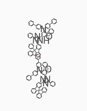 c1ccc(C2=NC(c3cc(N(c4ccc(-c5ccccc5)cc4)c4ccc(-c5ccccc5)cc4)c4c(c3)oc3ccccc34)NC(c3ccc4c(c3)C(c3ccccc3)(c3ccccc3-c3cccc(-c5ccc(N(c6ccc(-c7ccccc7)cc6)c6cc(-c7nc(-c8ccccc8)nc(-c8ccc9c(c8)C8(c%10ccccc%10-c%10ccccc%108)c8ccccc8-9)n7)cc7oc8ccccc8c67)cc5)c3)c3ccccc3-4)=N2)cc1